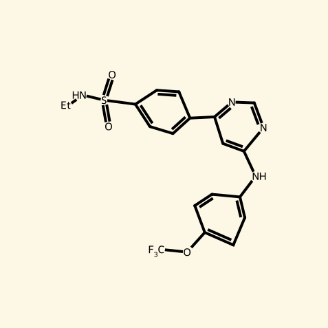 CCNS(=O)(=O)c1ccc(-c2cc(Nc3ccc(OC(F)(F)F)cc3)ncn2)cc1